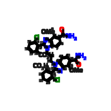 COc1c(C(N)=O)ccc2c1nc(-c1c(Cl)cccc1C(=O)O)n2CCCn1c(-c2c(Cl)cccc2C(=O)O)nc2c(OC)c(C(N)=O)ccc21